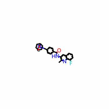 Cc1nc2c(F)cccc2cc1NC(=O)c1ccc(N2CC3CCC(CC3)C2)cc1